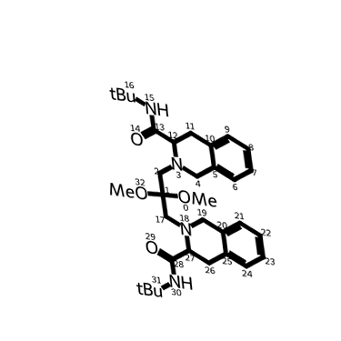 COC(CN1Cc2ccccc2CC1C(=O)NC(C)(C)C)(CN1Cc2ccccc2CC1C(=O)NC(C)(C)C)OC